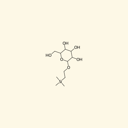 C[Si](C)(C)CCOC1OC(CO)C(O)C(O)C1O